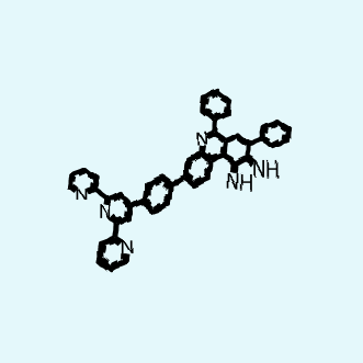 N=C1C(=N)c2c(c(-c3ccccc3)nc3cc(-c4ccc(-c5cc(-c6ccccn6)nc(-c6ccccn6)c5)cc4)ccc23)C=C1c1ccccc1